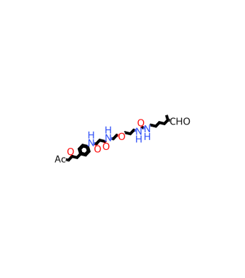 CC(=O)CC(=O)Cc1ccc(NC(=O)CC(=O)NCCOCCCNC(=O)NCCCCC(C)C=O)cc1